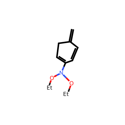 C=C1C=CC(N(OCC)OCC)=CC1